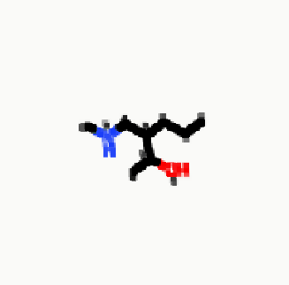 CCCC(CNC)C(C)O